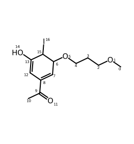 COCCCOC1C=C(C(C)=O)C=C(O)C1I